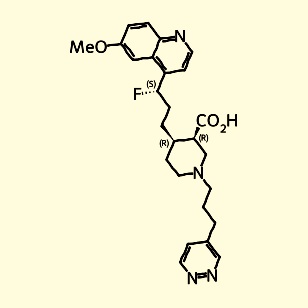 COc1ccc2nccc([C@@H](F)CC[C@@H]3CCN(CCCc4ccnnc4)C[C@@H]3C(=O)O)c2c1